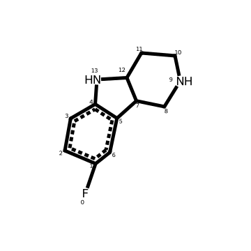 Fc1ccc2c(c1)C1CNCCC1N2